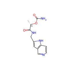 C[C@H](OC(N)=O)C(=O)NCc1cc2cnccc2[nH]1